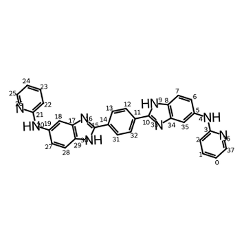 c1ccc(Nc2ccc3[nH]c(-c4ccc(-c5nc6cc(Nc7ccccn7)ccc6[nH]5)cc4)nc3c2)nc1